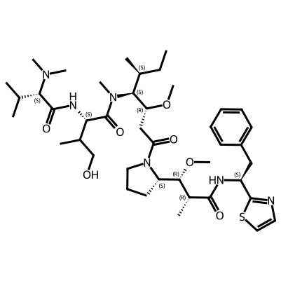 CC[C@H](C)[C@@H]([C@@H](CC(=O)N1CCC[C@H]1[C@H](OC)[C@@H](C)C(=O)N[C@@H](Cc1ccccc1)c1nccs1)OC)N(C)C(=O)[C@@H](NC(=O)[C@H](C(C)C)N(C)C)C(C)CO